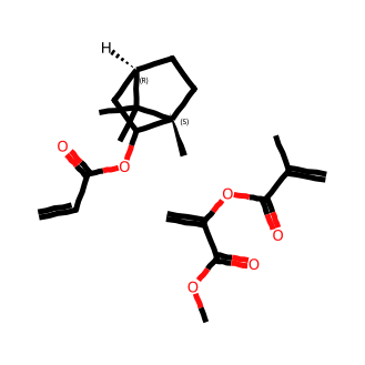 C=C(C)C(=O)OC(=C)C(=O)OC.C=CC(=O)OC1C[C@H]2CC[C@@]1(C)C2(C)C